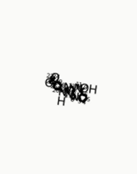 CN1c2ccccc2C(O)N(C)c2cnc(Nc3ccc(S(C)(=O)=O)cc3)nc21